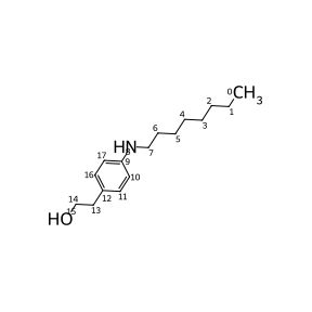 CCCCCCCCNc1ccc(CCO)cc1